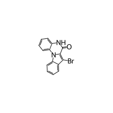 O=c1[nH]c2ccccc2n2c1c(Br)c1ccccc12